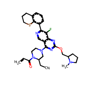 C=CC(=O)N1CCN(c2nc(OCC3CCCN3C)nc3c(F)c(-c4cccc5c4SCCC5)ncc23)CC1CC#N